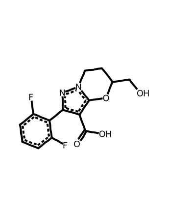 O=C(O)c1c(-c2c(F)cccc2F)nn2c1OC(CO)CC2